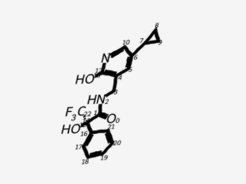 O=C(NCc1cc(C2CC2)cnc1O)[C@](O)(c1ccccc1)C(F)(F)F